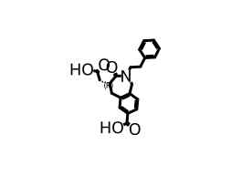 O=C(O)C[C@H]1Cc2cc(C(=O)O)ccc2CN(CCc2ccccc2)C1=O